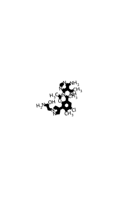 CCOc1c(C(C)Nc2ncnc(N)c2C(C)=N)cc(Cl)c(C)c1-c1cnn(CC(N)O)c1